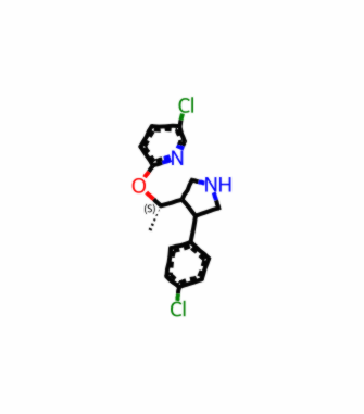 C[C@H](Oc1ccc(Cl)cn1)C1CNCC1c1ccc(Cl)cc1